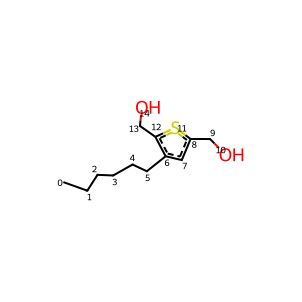 CCCCCCc1cc(CO)sc1CO